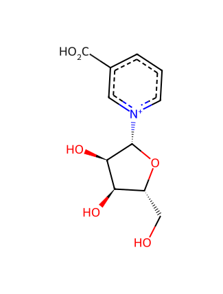 O=C(O)c1ccc[n+]([C@@H]2O[C@H](CO)[C@@H](O)[C@H]2O)c1